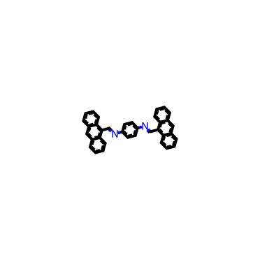 C(=Nc1ccc(N=Cc2c3ccccc3cc3ccccc23)cc1)c1c2ccccc2cc2ccccc12